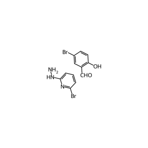 NNc1cccc(Br)n1.O=Cc1cc(Br)ccc1O